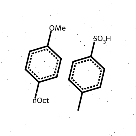 CCCCCCCCc1ccc(OC)cc1.Cc1ccc(S(=O)(=O)O)cc1